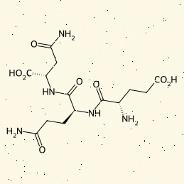 NC(=O)CC[C@H](NC(=O)[C@@H](N)CCC(=O)O)C(=O)N[C@@H](CC(N)=O)C(=O)O